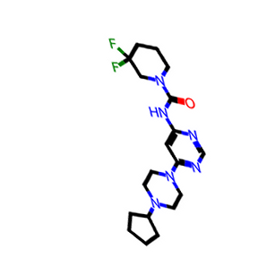 O=C(Nc1cc(N2CCN(C3CCCC3)CC2)ncn1)N1CCCC(F)(F)C1